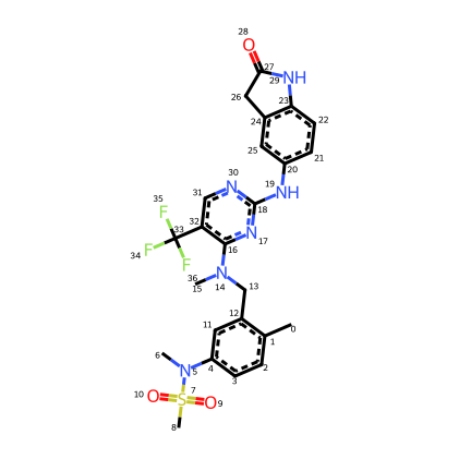 Cc1ccc(N(C)S(C)(=O)=O)cc1CN(C)c1nc(Nc2ccc3c(c2)CC(=O)N3)ncc1C(F)(F)F